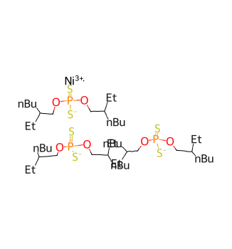 CCCCC(CC)COP(=S)([S-])OCC(CC)CCCC.CCCCC(CC)COP(=S)([S-])OCC(CC)CCCC.CCCCC(CC)COP(=S)([S-])OCC(CC)CCCC.[Ni+3]